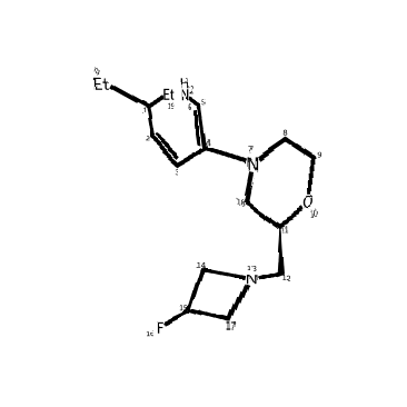 CCC(/C=C\C(=C/N)N1CCO[C@@H](CN2CC(F)C2)C1)CC